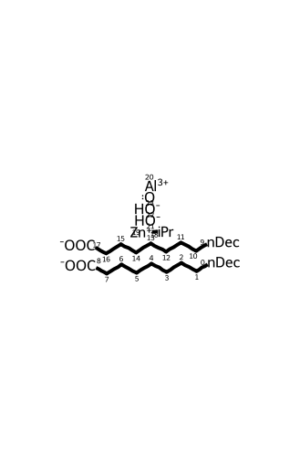 CCCCCCCCCCCCCCCCCC(=O)[O-].CCCCCCCCCCCCCCCCCC(=O)[O-].C[CH](C)[Zn+].[Al+3].[OH-].[OH-].[O]